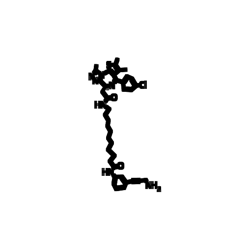 Cc1sc2c(c1C)C(c1ccc(Cl)cc1)=N[C@@H](CC(=O)NCCCCCCCCCCC(=O)Nc1cccc(C#CCN)c1)c1nnc(C)n1-2